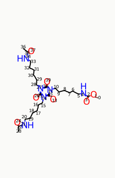 COC(=O)NCCCCCCn1c(=O)n(CCCCCCNC(C)=O)c(=O)n(CCCCCCNC(C)=O)c1=O